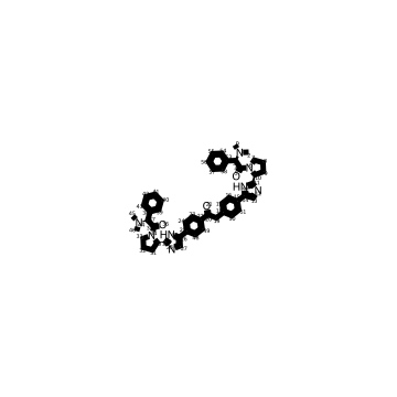 CN(C)[C@@H](C(=O)N1CCC[C@H]1c1ncc(-c2ccc(CC(=O)c3ccc(-c4cnc([C@@H]5CCCN5C(=O)[C@@H](c5ccccc5)N(C)C)[nH]4)cc3)cc2)[nH]1)c1ccccc1